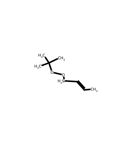 CC=C[SiH2]OOC(C)(C)C